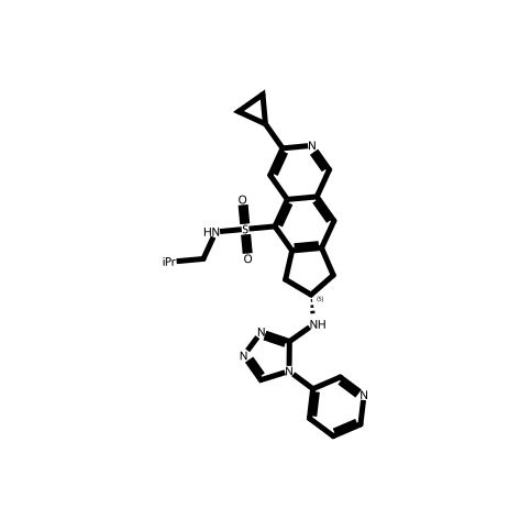 CC(C)CNS(=O)(=O)c1c2c(cc3cnc(C4CC4)cc13)C[C@H](Nc1nncn1-c1cccnc1)C2